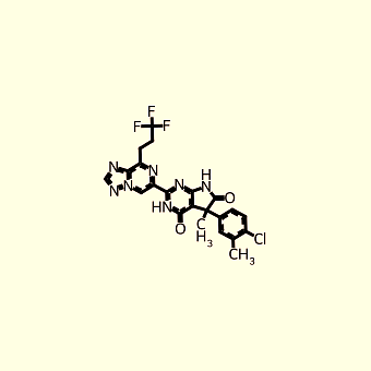 Cc1cc(C2(C)C(=O)Nc3nc(-c4cn5ncnc5c(CCC(F)(F)F)n4)[nH]c(=O)c32)ccc1Cl